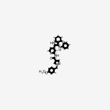 COc1ccc(Cn2cc(C(=O)Nc3cc(-c4[nH]c5c(c4Nc4ccccc4)C(=O)CCC5)ccn3)cn2)cc1